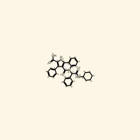 O=C(O)c1[nH]c2c(c1-c1ccccc1)c(=O)n(C(C(=O)NC1CCCCC1)c1ccccc1)c1ccccc21